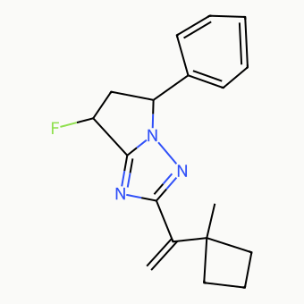 C=C(c1nc2n(n1)C(c1ccccc1)CC2F)C1(C)CCC1